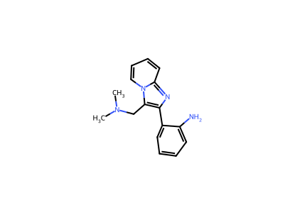 CN(C)Cc1c(-c2ccccc2N)nc2ccccn12